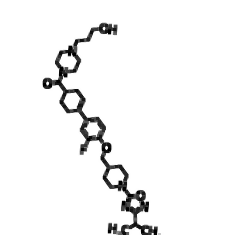 CC(C)c1noc(N2CCC(COc3ccc(C4=CCC(C(=O)N5CCN(CCCO)CC5)CC4)cc3F)CC2)n1